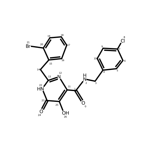 O=C(NCc1ccc(Cl)cc1)c1nc(Cc2ccccc2Br)[nH]c(=O)c1O